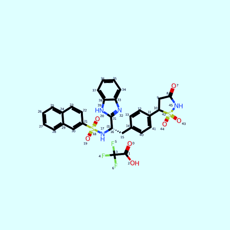 O=C(O)C(F)(F)F.O=C1CC(c2ccc(C[C@H](NS(=O)(=O)c3ccc4ccccc4c3)c3nc4ccccc4[nH]3)cc2)S(=O)(=O)N1